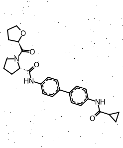 O=C(Nc1ccc(-c2ccc(NC(=O)[C@@H]3CCCN3C(=O)[C@H]3CCCO3)cc2)cc1)C1CC1